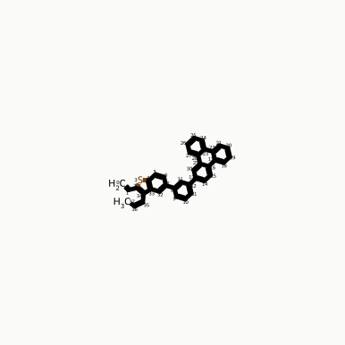 C=Cc1sc2ccc(-c3cccc(-c4ccc5c6ccccc6c6ccccc6c5c4)c3)cc2c1/C=C\C